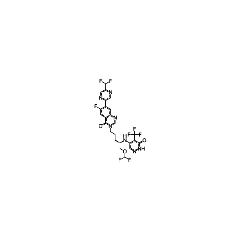 O=c1[nH]ncc(N[C@H](CCCn2cnc3cc(-c4cnc(C(F)F)cn4)c(F)cc3c2=O)COC(F)F)c1C(F)(F)F